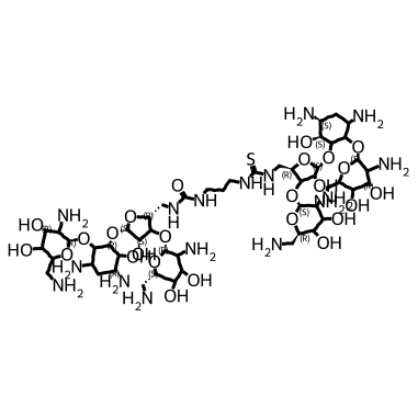 NCC1O[C@H](OC2C(N)C[C@@H](N)C(O)[C@H]2O[C@@H]2O[C@H](CNC(=O)NCCCNC(=S)NC[C@H]3O[C@@H](OC4C(O[C@@H]5OC(CN)C(O)[C@H](O)C5N)C(N)C[C@H](N)[C@@H]4O)C(O)C3O[C@@H]3O[C@H](CN)C(O)C(O)C3N)C(O[C@H]3O[C@@H](CN)C(O)C(O)C3N)[C@@H]2O)C(N)[C@@H](O)C1O